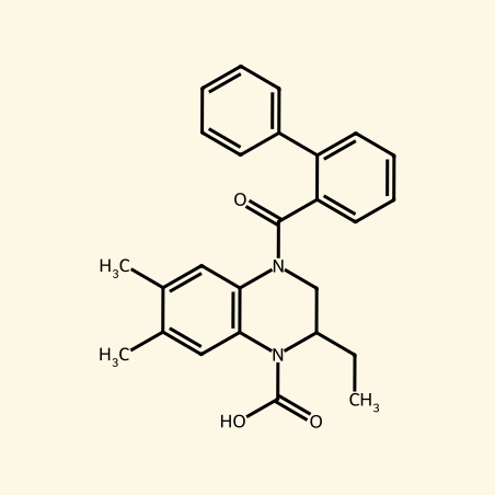 CCC1CN(C(=O)c2ccccc2-c2ccccc2)c2cc(C)c(C)cc2N1C(=O)O